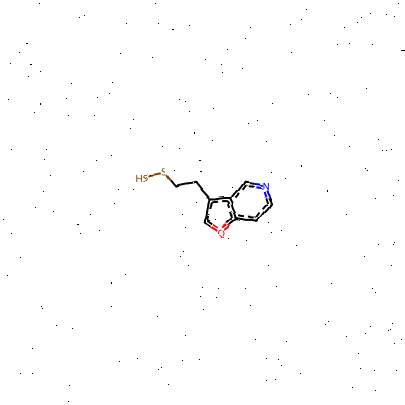 SSCCc1coc2ccncc12